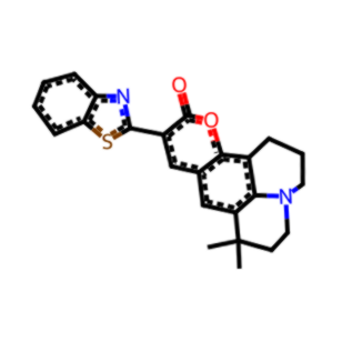 CC1(C)CCN2CCCc3c2c1cc1cc(-c2nc4ccccc4s2)c(=O)oc31